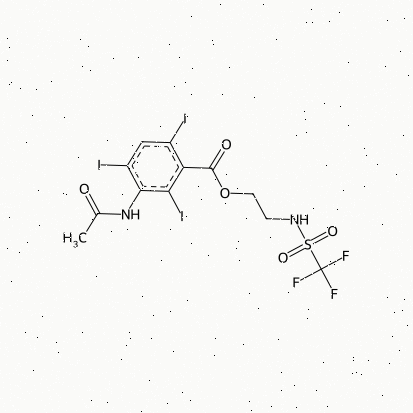 CC(=O)Nc1c(I)cc(I)c(C(=O)OCCNS(=O)(=O)C(F)(F)F)c1I